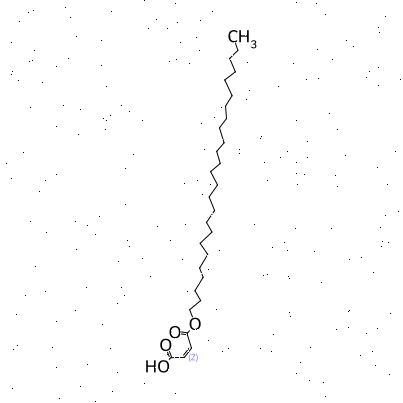 CCCCCCCCCCCCCCCCCCCCCCCCCOC(=O)/C=C\C(=O)O